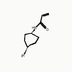 C=CC(=O)N[C@H]1CC[C@@H](C(C)C)CC1